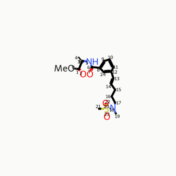 COC(=O)[C@@H](C)NC(=O)c1cccc(C=CCCCN(C)S(C)(=O)=O)c1